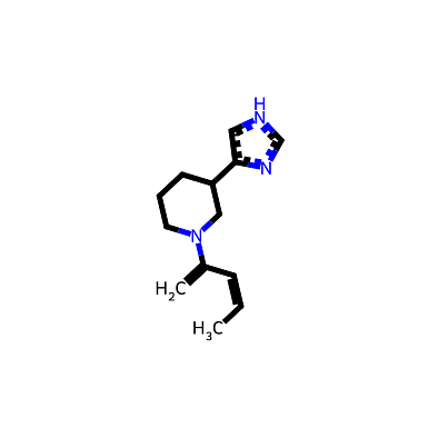 C=C(/C=C\C)N1CCCC(c2c[nH]cn2)C1